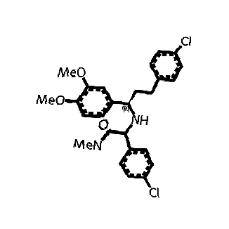 CNC(=O)C(N[C@H](CCc1ccc(Cl)cc1)c1ccc(OC)c(OC)c1)c1ccc(Cl)cc1